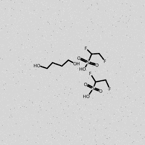 O=S(=O)(O)C(F)CF.O=S(=O)(O)C(F)CF.OCCCCO